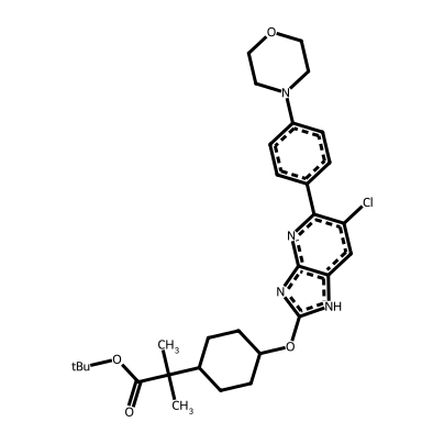 CC(C)(C)OC(=O)C(C)(C)C1CCC(Oc2nc3nc(-c4ccc(N5CCOCC5)cc4)c(Cl)cc3[nH]2)CC1